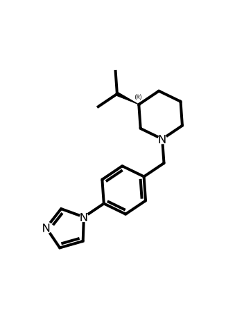 CC(C)[C@H]1CCCN(Cc2ccc(-n3ccnc3)cc2)C1